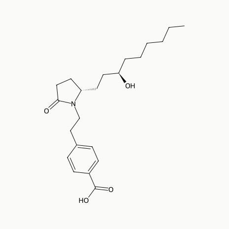 CCCCCC[C@@H](O)CC[C@H]1CCC(=O)N1CCc1ccc(C(=O)O)cc1